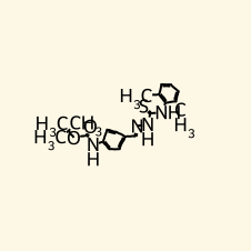 Cc1cccc(C)c1NC(=S)NN=Cc1ccc(NC(=O)OC(C)(C)C)cc1